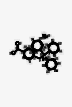 O=C([O-])c1ccc(C[PH](c2ccccc2)(c2ccccc2)c2ccccc2)cc1.[Na+]